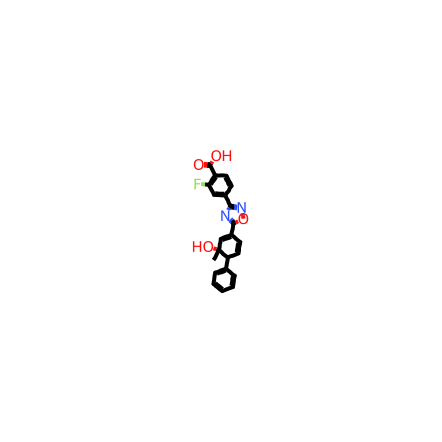 CC1(O)C=C(c2nc(-c3ccc(C(=O)O)c(F)c3)no2)C=CC1c1ccccc1